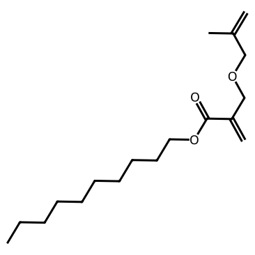 C=C(C)COCC(=C)C(=O)OCCCCCCCCCC